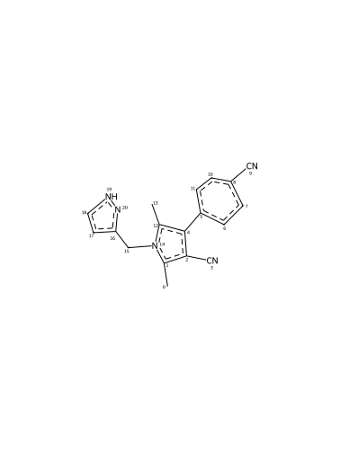 Cc1c(C#N)c(-c2ccc(C#N)cc2)c(C)n1Cc1cc[nH]n1